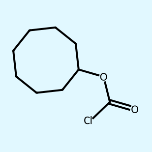 O=C(Cl)OC1CCCCCCC1